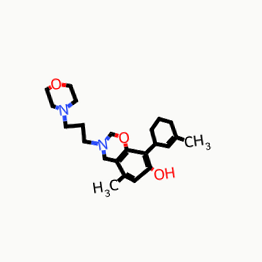 CC1=CC(c2c(O)cc(C)c3c2OCN(CCCN2CCOCC2)C3)CCC1